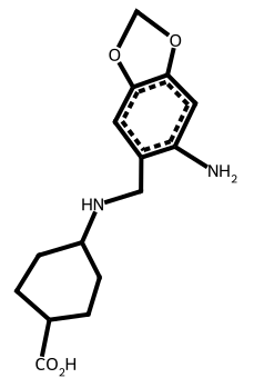 Nc1cc2c(cc1CNC1CCC(C(=O)O)CC1)OCO2